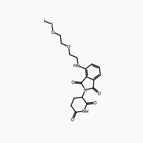 O=C1CCC(N2C(=O)c3cccc(NCCOCCOSI)c3C2=O)C(=O)N1